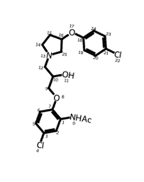 CC(=O)Nc1cc(Cl)ccc1OCC(O)CN1CCC(Oc2ccc(Cl)cc2)C1